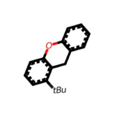 CC(C)(C)c1cccc2c1Cc1ccccc1O2